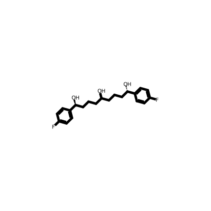 OC(CCC[C@H](O)c1ccc(F)cc1)CCC[C@H](O)c1ccc(F)cc1